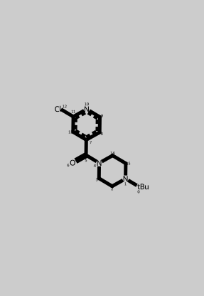 CC(C)(C)N1CCN(C(=O)c2ccnc(Cl)c2)CC1